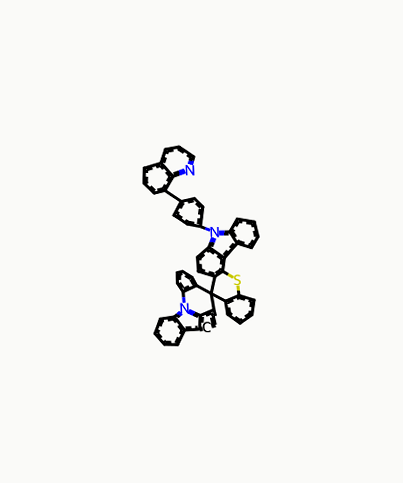 c1ccc2c(c1)Sc1c(ccc3c1c1ccccc1n3-c1ccc(-c3cccc4cccnc34)cc1)C21c2ccccc2-n2c3ccccc3c3cccc1c32